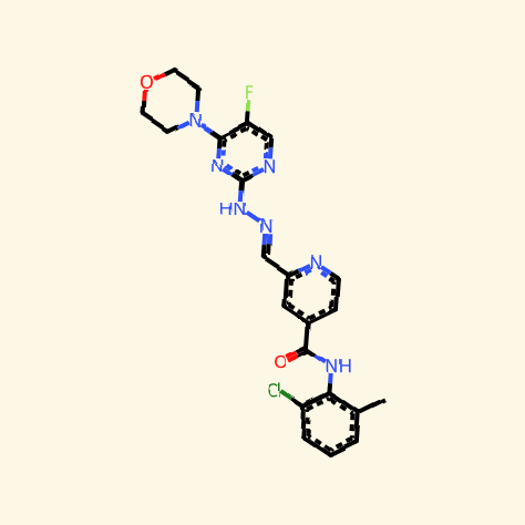 Cc1cccc(Cl)c1NC(=O)c1ccnc(/C=N/Nc2ncc(F)c(N3CCOCC3)n2)c1